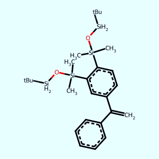 C=C(c1ccccc1)c1ccc([Si](C)(C)O[SiH2]C(C)(C)C)c([Si](C)(C)O[SiH2]C(C)(C)C)c1